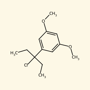 CCC(Cl)(CC)c1cc(OC)cc(OC)c1